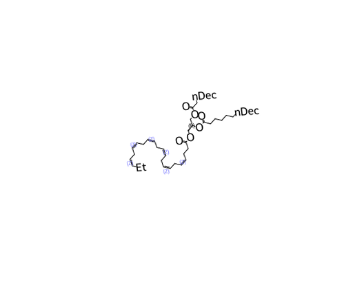 CC/C=C\C/C=C\C/C=C\C/C=C\C/C=C\C/C=C\CCC(=O)OC[C@@H](COC(=O)CCCCCCCCCCC)OC(=O)CCCCCCCCCCCCCCC